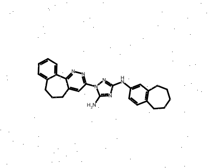 Nc1nc(Nc2ccc3c(c2)CCCCC3)nn1-c1cc2c(nn1)-c1ccccc1CCC2